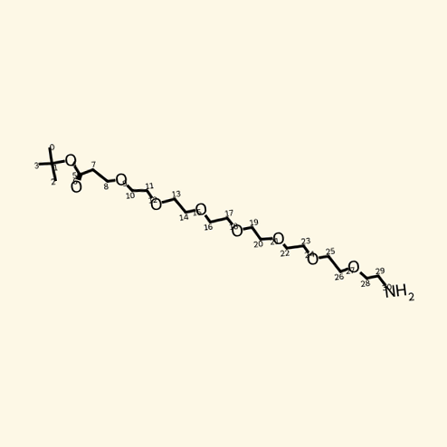 CC(C)(C)OC(=O)CCOCCOCCOCCOCCOCCOCCOCCN